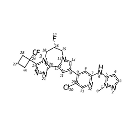 Cn1nccc1Nc1cc(-c2cc3n(c2)C[C@@H](F)Cn2c-3nnc2C2(C(F)(F)F)CCC2)c(Cl)cn1